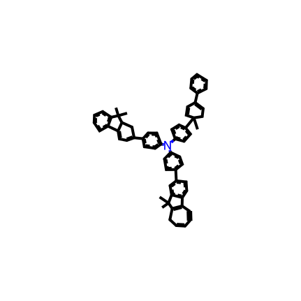 CC1(c2ccc(N(c3ccc(C4=CC=C5c6ccccc6C(C)(C)C5C4)cc3)c3ccc(-c4ccc5c(c4)C(C)(C)C4=C5C#CC=CC4)cc3)cc2)C=CC(c2ccccc2)=CC1